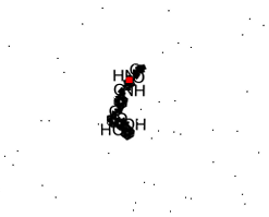 CC(C)(C)OC(=O)NC1CC(NC(=O)c2ccc(COc3cccc(C(O)(C(=O)O)c4ccccc4)c3)cc2)C1